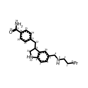 CC(C)CCNCc1ccc2c(c1)C(Cc1ccc(C(N)=O)cc1)CN2